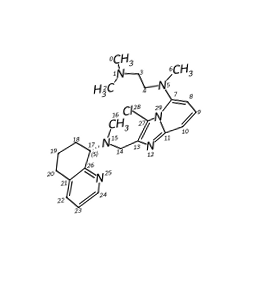 CN(C)CCN(C)c1cccc2nc(CN(C)[C@H]3CCCc4cccnc43)c(Cl)n12